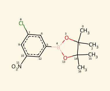 CC1(C)OB(c2cc(Cl)cc([N+](=O)[O-])c2)OC1(C)C